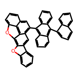 c1ccc2c(-c3c4ccccc4c(-c4cc5cccc6oc7c8oc9ccccc9c8cc4c7c56)c4ccccc34)cccc2c1